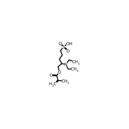 C=C(C)C(=O)OCC(CCCS(=O)(=O)O)N(CC)CC